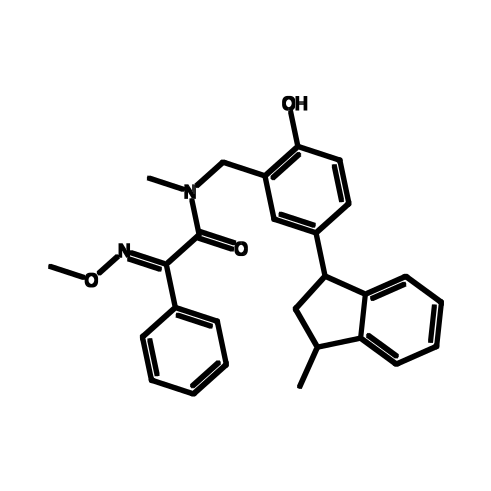 CON=C(C(=O)N(C)Cc1cc(C2CC(C)c3ccccc32)ccc1O)c1ccccc1